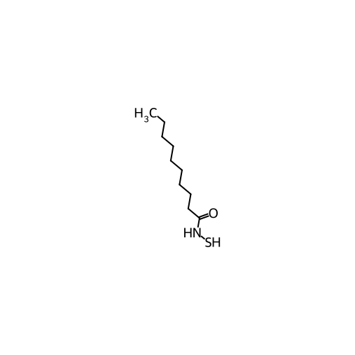 CCCCCCCCCC(=O)NS